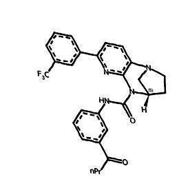 CCCC(=O)c1cccc(NC(=O)N2c3nc(-c4cccc(C(F)(F)F)c4)ccc3N3CC[C@H]2C3)c1